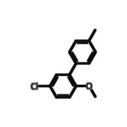 COc1ccc(Cl)cc1-c1ccc(C)cc1